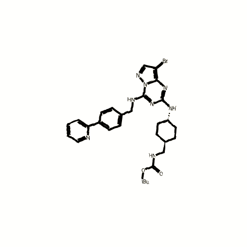 CC(C)(C)OC(=O)NC[C@H]1CC[C@H](Nc2nc(NCc3ccc(-c4ccccn4)cc3)n3ncc(Br)c3n2)CC1